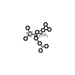 CC1(C)c2cc3c4ccccc4c4ccccc4c3cc2-c2ccc3c(c21)c1cc(-c2ccc(N(c4ccccc4)c4ccccc4)cc2)ccc1n3-c1nc(-c2ccccc2)nc(-c2ccccc2)n1